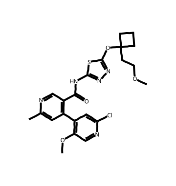 COCCC1(Oc2nnc(NC(=O)c3cnc(C)cc3-c3cc(Cl)ncc3OC)s2)CCC1